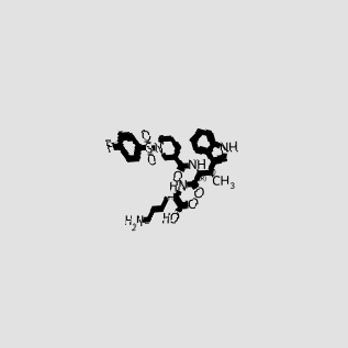 C[C@@H](c1c[nH]c2ccccc12)[C@@H](NC(=O)C1CCCN(S(=O)(=O)c2ccc(F)cc2)C1)C(=O)N[C@@H](CCCCN)C(=O)O